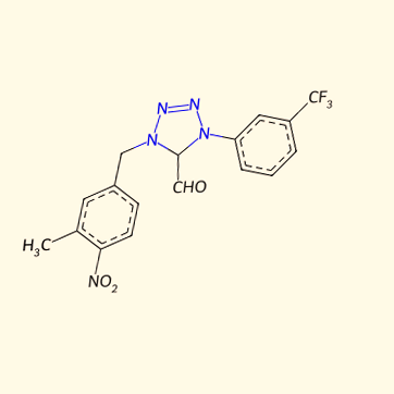 Cc1cc(CN2N=NN(c3cccc(C(F)(F)F)c3)C2C=O)ccc1[N+](=O)[O-]